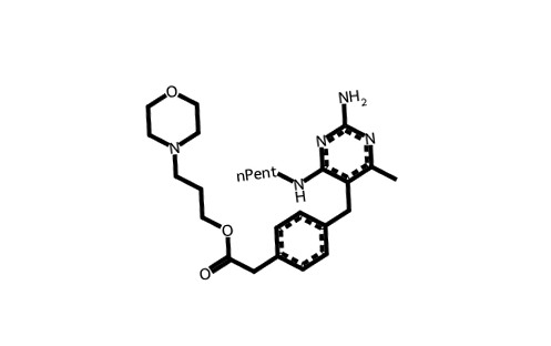 CCCCCNc1nc(N)nc(C)c1Cc1ccc(CC(=O)OCCCN2CCOCC2)cc1